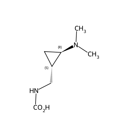 CN(C)[C@@H]1C[C@H]1CNC(=O)O